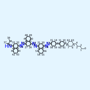 CCCCCC1CCC(c2ccc(-c3ccc(N=Nc4ccc(N=Nc5ccc(N=Nc6ccc(NC(C)CC)c7ccccc67)c6ccccc56)c5ccccc45)cc3)cc2)CC1